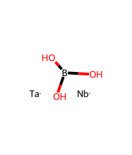 OB(O)O.[Nb].[Ta]